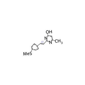 CSc1ccc(/C=C/c2nc(C)cc(O)n2)cc1